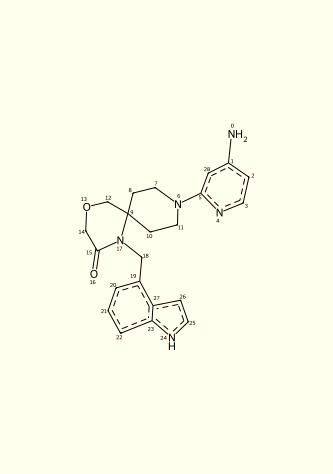 Nc1ccnc(N2CCC3(CC2)COCC(=O)N3Cc2cccc3[nH]ccc23)c1